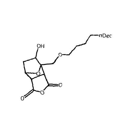 CCCCCCCCCCCCCCOCC12OC(CC1O)C1C(=O)OC(=O)C12